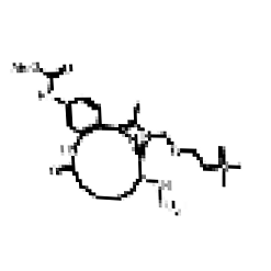 COC(=O)Nc1ccc2c(c1)NC(=O)CCCC[C@H](NC(=O)O)c1nc-2c(C)n1COCC[Si](C)(C)C